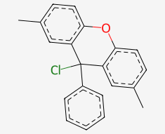 Cc1ccc2c(c1)C(Cl)(c1ccccc1)c1cc(C)ccc1O2